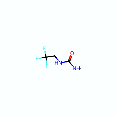 [NH]C(=O)NCC(F)(F)F